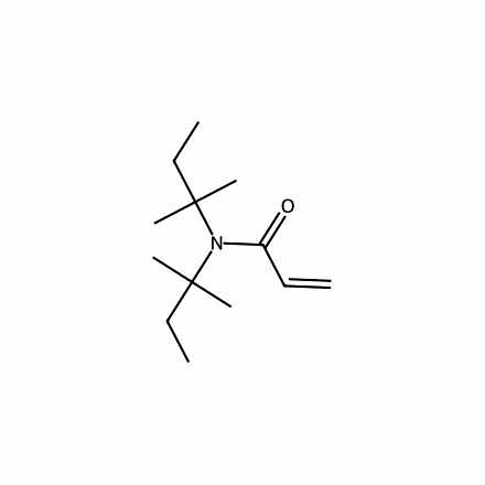 C=CC(=O)N(C(C)(C)CC)C(C)(C)CC